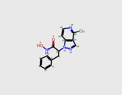 O=C(NO)C(Cc1ccccc1)n1ncc2c(Cl)nccc21